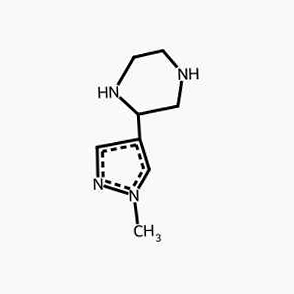 Cn1cc(C2CNCCN2)cn1